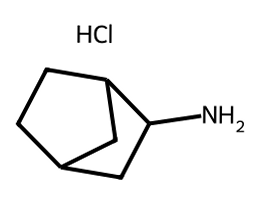 Cl.NC1CC2CCC1C2